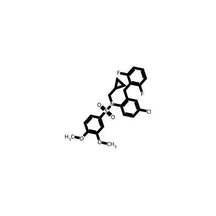 COc1ccc(S(=O)(=O)N(CC2CC2)c2ccc(Cl)cc2Cc2c(F)cccc2F)cc1OC